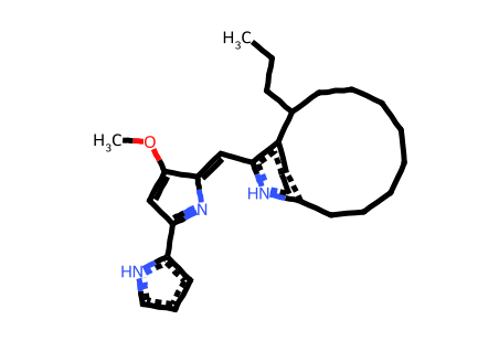 CCCC1CCCCCCCCc2cc1c(C=C1N=C(c3ccc[nH]3)C=C1OC)[nH]2